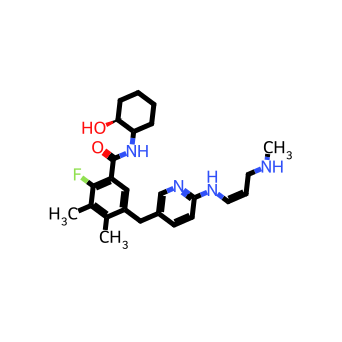 CNC/C=C\Nc1ccc(Cc2cc(C(=O)NC3CCCC[C@@H]3O)c(F)c(C)c2C)cn1